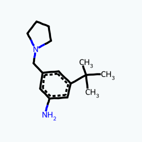 CC(C)(C)c1cc(N)cc(CN2CCCC2)c1